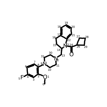 COc1cc(F)ccc1N1CCN(CC2CCc3ccccc3N2C(=O)C2CCC2)CC1